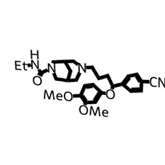 CCNC(=O)N1CC2CC(CN(CCCC(Oc3ccc(OC)c(OC)c3)c3ccc(C#N)cc3)C2)C1